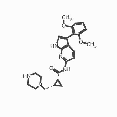 COc1cccc(OC)c1-c1c[nH]c2nc(NC(=O)[C@@H]3C[C@@H]3CN3CCNCC3)ccc12